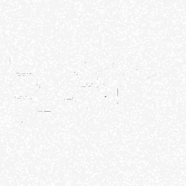 COC(c1ncc(Cl)cn1)C(C)[S+]([O-])Nc1nnc(CCCCCO)n1C1(C)CC1